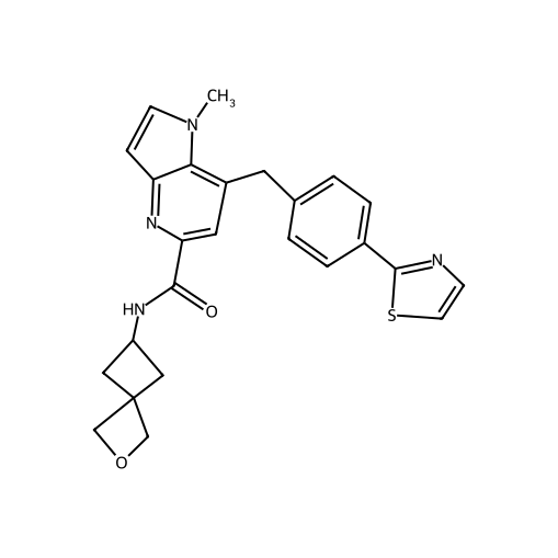 Cn1ccc2nc(C(=O)NC3CC4(COC4)C3)cc(Cc3ccc(-c4nccs4)cc3)c21